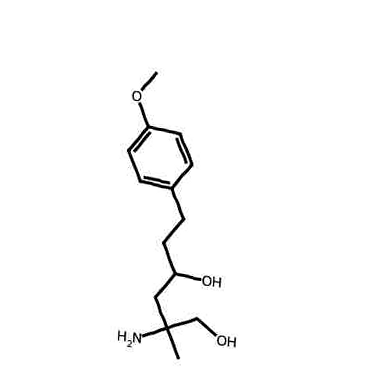 COc1ccc(CCC(O)CC(C)(N)CO)cc1